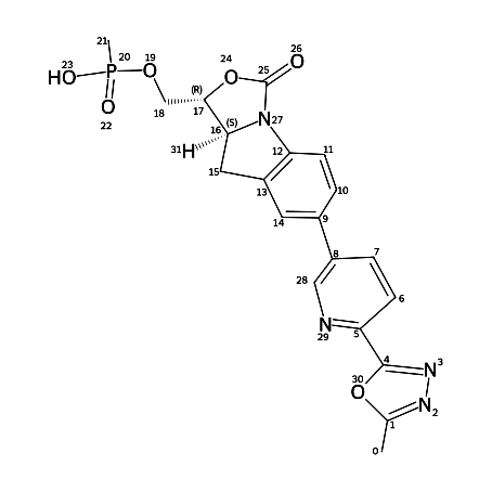 Cc1nnc(-c2ccc(-c3ccc4c(c3)C[C@H]3[C@H](COP(C)(=O)O)OC(=O)N43)cn2)o1